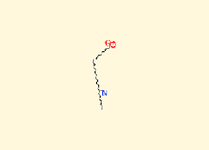 CCCCCCCC(CCCCCCCCCC/C=C\CCCCCCCC(=O)OC)CN(C)C